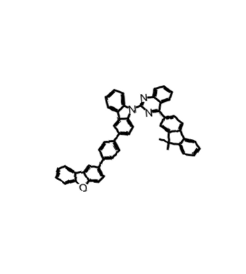 CC1(C)c2ccccc2-c2ccc(-c3nc(-n4c5ccccc5c5cc(-c6ccc(-c7ccc8oc9ccccc9c8c7)cc6)ccc54)nc4ccccc34)cc21